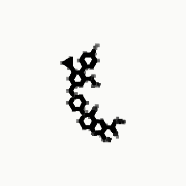 CCCc1nc2c(cc1C(=O)OC)C(=O)N(C1CCN(Cc3cc(OC(C)C)c(-c4ccc(F)cc4)c(C4CC4)c3)CC1)CC2